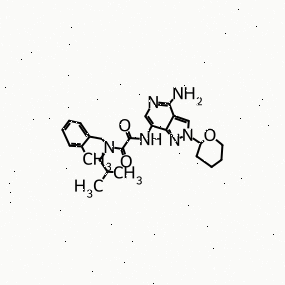 Cc1ccccc1CN(CC(C)C)C(=O)C(=O)Nc1cnc(N)c2cn(C3CCCCO3)nc12